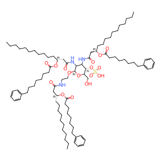 CCCCCCCCCCC[C@H](CC(=O)NCCO[C@@H]1OC(CO)[C@@H](OS(=O)(=O)O)C(NC(=O)C[C@@H](CCCCCCCCCCC)OC(=O)CCCCCCCc2ccccc2)C1NC(=O)C[C@@H](CCCCCCCCCCC)OC(=O)CCCCCCCc1ccccc1)OC(=O)CCCCCCCc1ccccc1